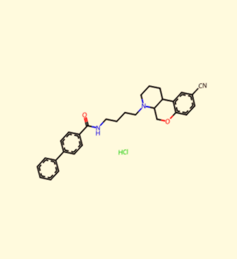 Cl.N#Cc1ccc2c(c1)C1CCCN(CCCCNC(=O)c3ccc(-c4ccccc4)cc3)C1CO2